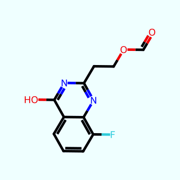 O=COCCc1nc(O)c2cccc(F)c2n1